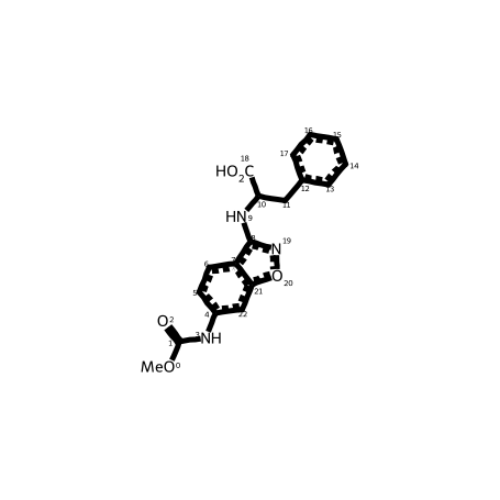 COC(=O)Nc1ccc2c(NC(Cc3ccccc3)C(=O)O)noc2c1